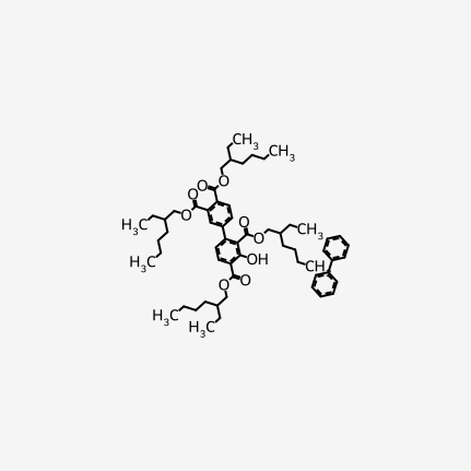 CCCCC(CC)COC(=O)c1ccc(-c2ccc(C(=O)OCC(CC)CCCC)c(O)c2C(=O)OCC(CC)CCCC)cc1C(=O)OCC(CC)CCCC.c1ccc(-c2ccccc2)cc1